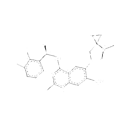 COc1cc2nc(C)nc(N[C@H](C)c3cccc(C(F)(F)F)c3F)c2cc1OCC1(N(C)C)CC1